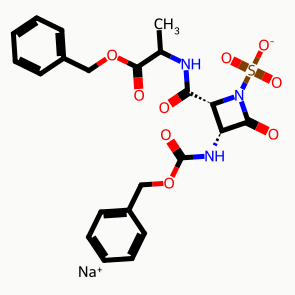 CC(NC(=O)[C@H]1[C@@H](NC(=O)OCc2ccccc2)C(=O)N1S(=O)(=O)[O-])C(=O)OCc1ccccc1.[Na+]